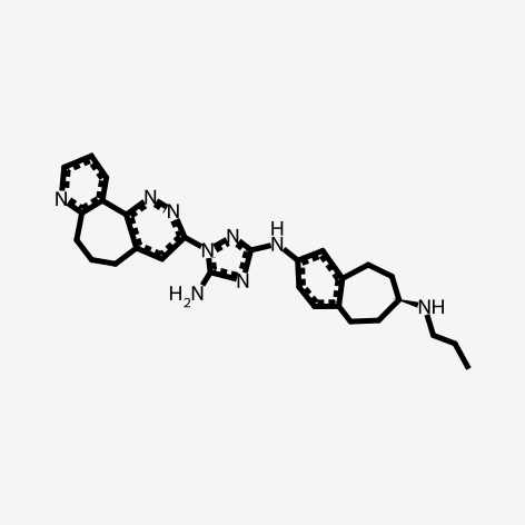 CCCN[C@H]1CCc2ccc(Nc3nc(N)n(-c4cc5c(nn4)-c4cccnc4CCC5)n3)cc2CC1